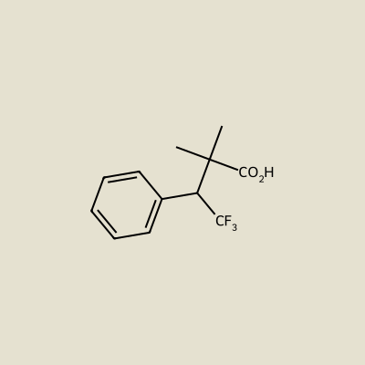 CC(C)(C(=O)O)C(c1ccccc1)C(F)(F)F